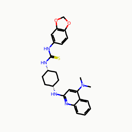 CN(C)c1cc(N[C@H]2CC[C@@H](NC(=S)Nc3ccc4c(c3)OCO4)CC2)nc2ccccc12